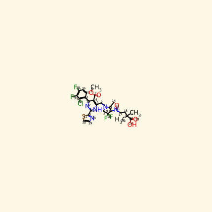 COC(=O)C1=C(CN2CC(F)(F)C3C2CON3CCC(C)(C)C(=O)O)NC(c2nccs2)=NC1c1ccc(F)c(F)c1Cl